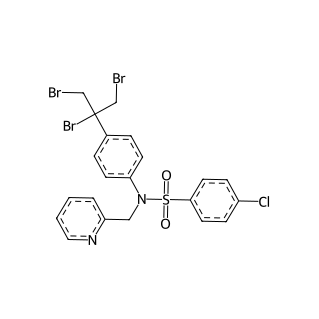 O=S(=O)(c1ccc(Cl)cc1)N(Cc1ccccn1)c1ccc(C(Br)(CBr)CBr)cc1